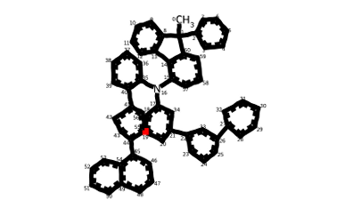 CC1(c2ccccc2)c2ccccc2-c2c(N(c3cccc(-c4cccc(-c5ccccc5)c4)c3)c3ccccc3-c3ccc(-c4cccc5ccccc45)cc3)cccc21